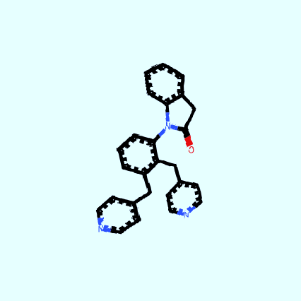 O=C1Cc2ccccc2N1c1cccc(Cc2ccncc2)c1Cc1ccncc1